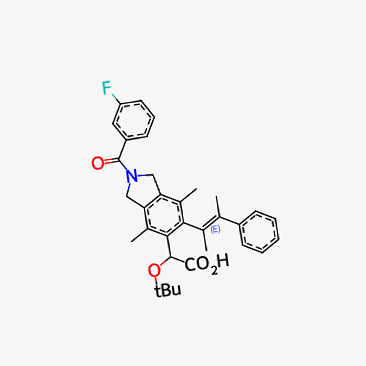 C/C(=C(/C)c1c(C)c2c(c(C)c1C(OC(C)(C)C)C(=O)O)CN(C(=O)c1cccc(F)c1)C2)c1ccccc1